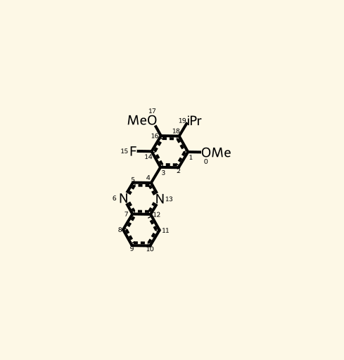 COc1cc(-c2cnc3ccccc3n2)c(F)c(OC)c1C(C)C